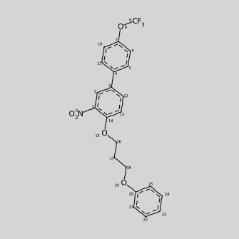 O=[N+]([O-])c1cc(-c2ccc(OC(F)(F)F)cc2)ccc1OCCCOc1ccccc1